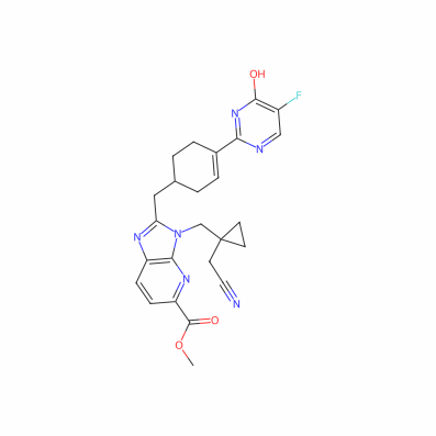 COC(=O)c1ccc2nc(CC3CC=C(c4ncc(F)c(O)n4)CC3)n(CC3(CC#N)CC3)c2n1